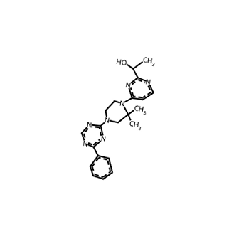 CC(O)c1nccc(N2CCN(c3ncnc(-c4ccccc4)n3)CC2(C)C)n1